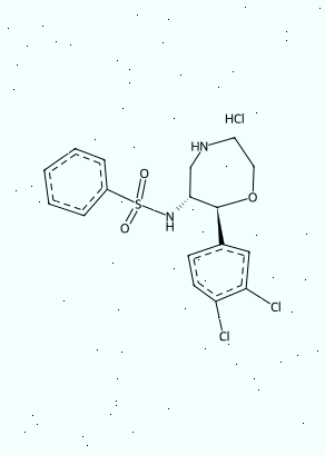 Cl.O=S(=O)(N[C@@H]1CNCCO[C@H]1c1ccc(Cl)c(Cl)c1)c1ccccc1